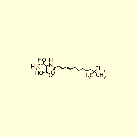 C[C@@H](O)[C@H](NC(=O)/C=C/C=C/CCCCCC(C)(C)C)C(=O)O